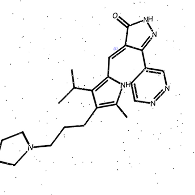 Cc1[nH]c(/C=C2/C(=O)NN=C2c2ccnnc2)c(C(C)C)c1CCCN1CCCC1